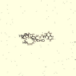 Cc1[nH]nc2c1-c1c(F)ccc3c(CCCOc4cccc5ccccc45)c(C=O)n(c13)CCCCNC2